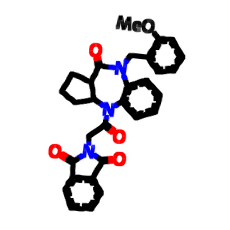 COc1ccccc1CN1C(=O)C2CCCC2N(C(=O)CN2C(=O)c3ccccc3C2=O)c2ccccc21